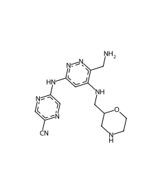 N#Cc1cnc(Nc2cc(NCC3CNCCO3)c(CN)nn2)cn1